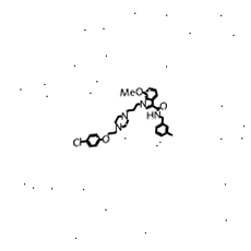 COc1cccc2c(C(=O)NCc3cccc(C)c3)cn(CCCN3CCN(CCOc4ccc(Cl)cc4)CC3)c12